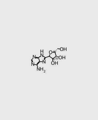 Nc1ncnc2[nH]c(C3O[C@H](CO)[C@@H](O)[C@H]3O)nc12